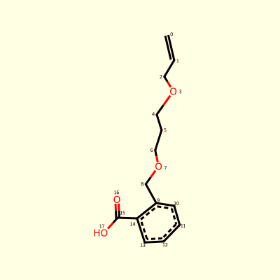 C=CCOCCCOCc1ccccc1C(=O)O